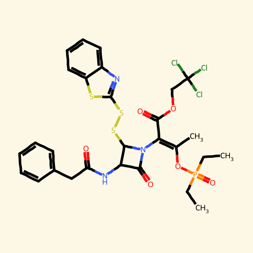 CCP(=O)(CC)OC(C)=C(C(=O)OCC(Cl)(Cl)Cl)N1C(=O)C(NC(=O)Cc2ccccc2)C1SSc1nc2ccccc2s1